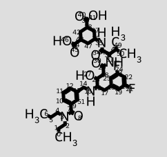 CCCN(CCC)C(=O)c1cccc(CNC(Cc2cc(F)cc(F)c2)C(O)CC(=O)NC(C(=O)NC2CC(C(=O)O)CC(C(=O)O)C2)C(C)C)c1